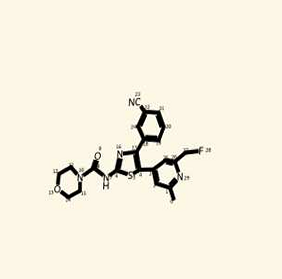 Cc1cc(-c2sc(NC(=O)N3CCOCC3)nc2-c2cccc(C#N)c2)cc(CF)n1